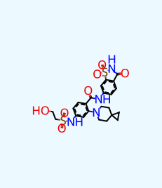 O=C(Nc1ccc2c(c1)S(=O)(=O)NC2=O)c1ccc(NS(=O)(=O)CCO)cc1N1CCC2(CC1)CC2